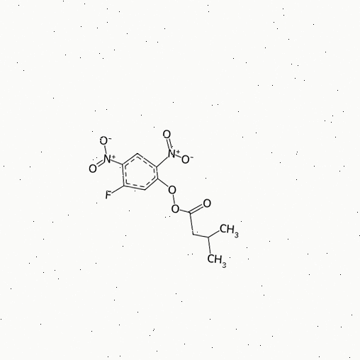 CC(C)CC(=O)OOc1cc(F)c([N+](=O)[O-])cc1[N+](=O)[O-]